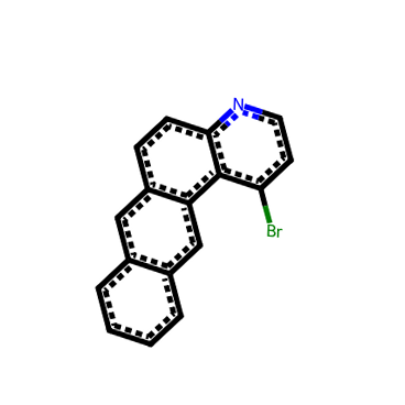 Brc1ccnc2ccc3cc4ccccc4cc3c12